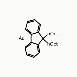 CCCCCCCCC1(CCCCCCCC)c2ccccc2-c2ccccc21.[Au]